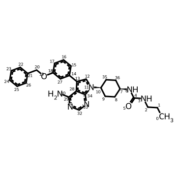 CCCNC(=O)N[C@H]1CC[C@@H](n2cc(-c3cccc(OCc4ccccc4)c3)c3c(N)ncnc32)CC1